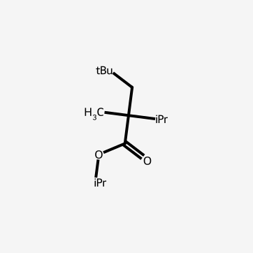 CC(C)OC(=O)C(C)(CC(C)(C)C)C(C)C